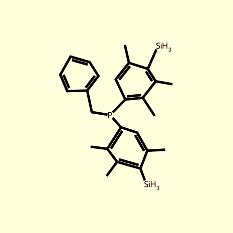 Cc1cc(P(Cc2ccccc2)c2cc(C)c([SiH3])c(C)c2C)c(C)c(C)c1[SiH3]